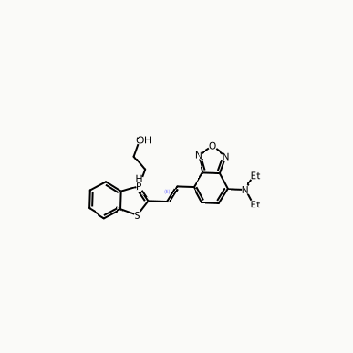 CCN(CC)c1ccc(/C=C/C2=[PH](CCO)c3ccccc3S2)c2nonc12